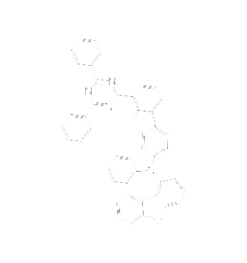 c1ccc(-c2nc(-c3ccccc3)nc(-c3cccc4c3sc3c4ccc4c3c3ccccc3n4-c3cccc4oc5ccccc5c34)n2)cc1